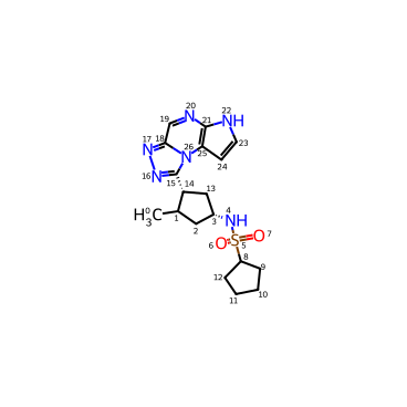 CC1C[C@@H](NS(=O)(=O)C2CCCC2)C[C@H]1c1nnc2cnc3[nH]ccc3n12